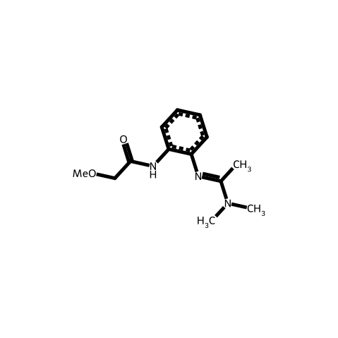 COCC(=O)Nc1ccccc1/N=C(\C)N(C)C